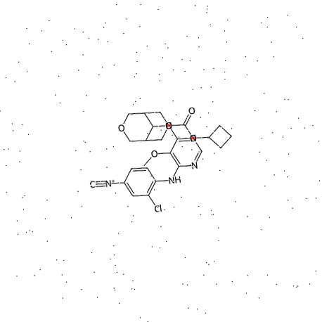 [C-]#[N+]c1ccc(Nc2ncnc(OC3C4COCC3CN(C(=O)OC3CCC3)C4)c2OC)c(Cl)c1